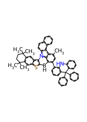 Cc1cc(-c2cccc3c2Nc2ccccc2C3(c2ccccc2)c2ccccc2)c2c3c1c1c4ccccc4ccc1n3-c1c(sc3cc4c(cc13)C(C)(C)CCC4(C)C)B2